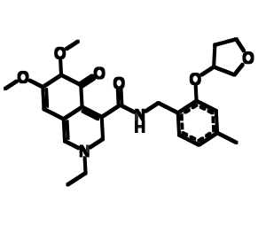 CCN1C=C2C=C(OC)C(OC)C(=O)C2=C(C(=O)NCc2ccc(C)cc2OC2CCOC2)C1